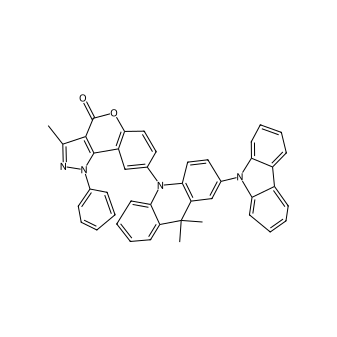 Cc1nn(-c2ccccc2)c2c1c(=O)oc1ccc(N3c4ccccc4C(C)(C)c4cc(-n5c6ccccc6c6ccccc65)ccc43)cc12